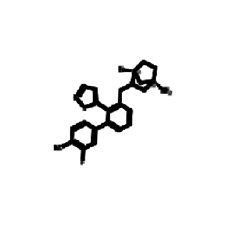 N#Cc1ccc(-c2cccc(CN3C[C@]4(N)CC[C@H]3C4)c2-c2ccns2)cc1F